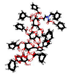 O=C(OC1C(OC2C(COCc3ccccc3)OC(OC3C4OC(c5ccccc5)OCC4OC(OC4C(COCc5ccccc5)OC(OCCN(Cc5ccccc5)C(=O)OCc5ccccc5)C(OC(=O)c5ccccc5)C4OC(=O)c4ccccc4)C3OC(=O)c3ccccc3)C(OC(=O)c3ccccc3)C2OC(=O)c2ccccc2)OC2COC(c3ccccc3)OC2C1O)c1ccccc1